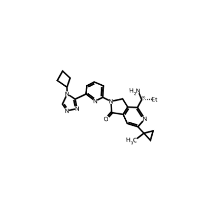 CC[C@@H](N)c1nc(C2(C)CC2)cc2c1CN(c1cccc(-c3nncn3C3CCC3)n1)C2=O